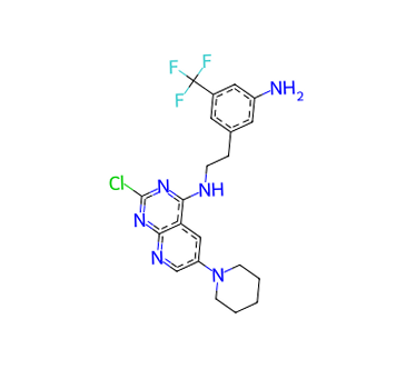 Nc1cc(CCNc2nc(Cl)nc3ncc(N4CCCCC4)cc23)cc(C(F)(F)F)c1